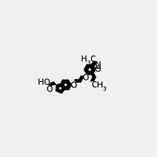 CCCc1c(OCCCOc2ccc3c(c2)CC[C@H]3CC(=O)O)ccc2c(C)noc12